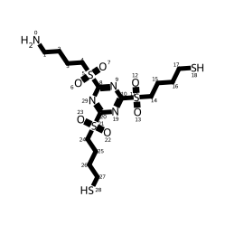 NCCCCS(=O)(=O)c1nc(S(=O)(=O)CCCCS)nc(S(=O)(=O)CCCCS)n1